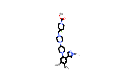 COc1cc(N2CCC(N3CCN(CC4(F)CCN(C(=O)OC(C)(C)C)CC4)CC3)CC2)c(-c2cnn(C)c2)cc1[N+](=O)[O-]